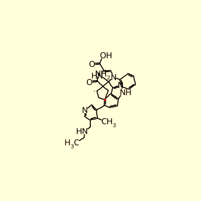 CCNCc1cncc(-c2ccc3[nH]nc(C4(C5(C(N)=O)[CH]CCC5)NC(C(=O)O)=CN4c4ccccc4)c3c2)c1C